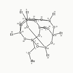 CCC(C)OC[Si]12O[Si]3(CC)O[Si]4(CC)O[Si]5(CC)O[Si](CC)(O3)O[Si](CC)(O[Si](CC)(O5)O[Si](CC)(O4)O1)O2